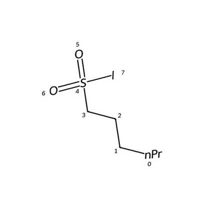 CCCCCCS(=O)(=O)I